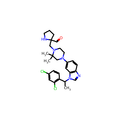 CC(c1ccc(Cl)cc1Cl)n1cnc2ccc(N3CCN(CC4(C=O)CCCN4)C(C)(C)C3)cc21